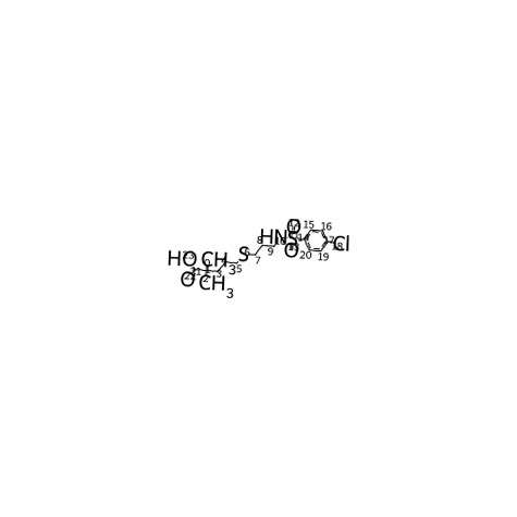 CC(C)(CCCSCCCNS(=O)(=O)c1ccc(Cl)cc1)C(=O)O